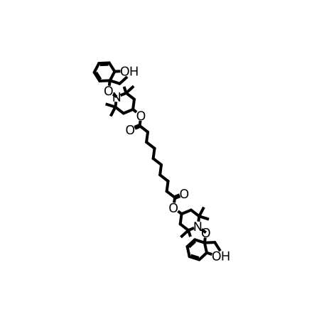 CCC1(ON2C(C)(C)CC(OC(=O)CCCCCCCCC(=O)OC3CC(C)(C)N(OC4(CC)C=CC=CC4O)C(C)(C)C3)CC2(C)C)C=CC=CC1O